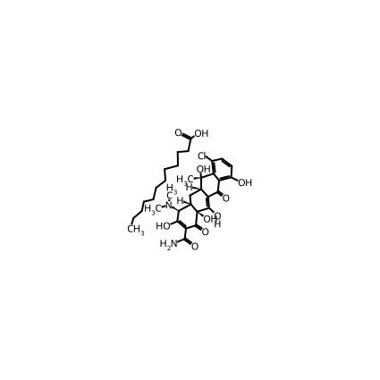 CCCCCCCCCCCC(=O)O.CN(C)[C@@H]1C(O)=C(C(N)=O)C(=O)[C@@]2(O)C(O)=C3C(=O)c4c(O)ccc(Cl)c4[C@@](C)(O)[C@H]3C[C@@H]12